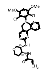 C=CC(=O)N[C@H]1CCOC[C@H]1Nc1ncc2c(n1)-c1cccnc1N(c1c(Cl)c(OC)cc(OC)c1Cl)C2